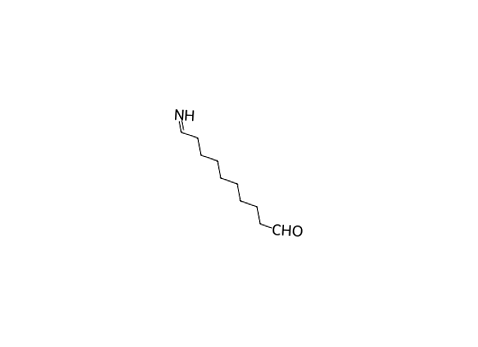 N=CCCCCCCCCC=O